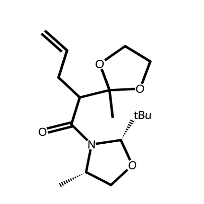 C=CCC(C(=O)N1[C@H](C(C)(C)C)OC[C@@H]1C)C1(C)OCCO1